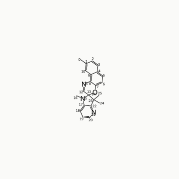 Cc1ccc2ccc3c(c2c1)N=CC1(O3)N(C)c2cccnc2C1(C)C